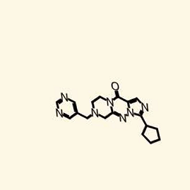 O=c1c2cnc(C3CCCC3)n2nc2n1CCN(Cc1cncnc1)C2